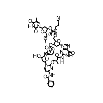 Cc1cn(C2CC(OP(=O)(OCCC#N)OCC3OC(n4cnc5c(=O)[nH]c(NC(=O)C(C)C)nc54)CC3OP(=O)(OCCC#N)OCC3OC(n4ccc(NC(=O)c5ccccc5)nc4=O)CC3O)C(COI)O2)c(=O)[nH]c1=O